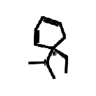 CC[C@@]1(N(C)C)C=CC=CC1